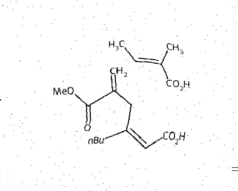 C=C(CC(=CC(=O)O)CCCC)C(=O)OC.CC=C(C)C(=O)O